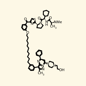 CN[C@@H](C)C(=O)N[C@H](C(=O)N1CCC[C@H]1c1nc(C(=O)c2cccc(OCCCCCCCCCCCc3cccc(-c4c(C)nn5c(N6CCN(CCO)CC6)cc(-c6ccccc6)nc45)c3)c2)cs1)C1CCCCC1